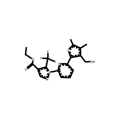 CCOC(=O)c1cnn(-c2cccc(-c3sc(C)c(C)c3CO)n2)c1C(F)(F)F